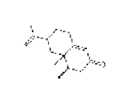 C=C(C)C1CCC2=CC(=O)C[C@@H](C)C2(C)C1